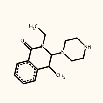 CCN1C(=O)c2ccccc2C(C)C1N1CCNCC1